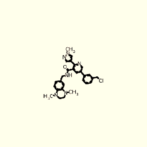 CN1CCN(C)c2cc(CNC(=O)c3cc(-c4cccc(CCl)c4)cnc3-c3cnn(C)c3)ccc21